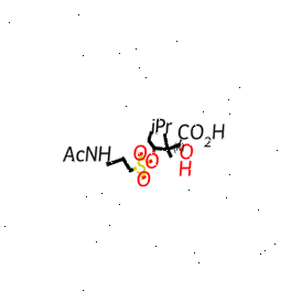 CC(=O)NCCCS(=O)(=O)OC(CC(C)C)C(C)(C)[C@@H](O)C(=O)O